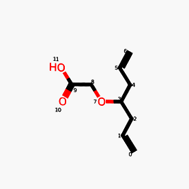 C=CCC(CC=C)OCC(=O)O